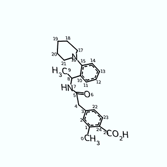 Cc1cc(CC(=O)NC(C)c2ccccc2N2CCCCC2)ccc1C(=O)O